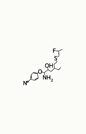 CCC(CCSCC(C)F)CC(O)C(N)Oc1ccc(C#N)cc1